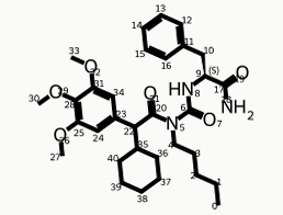 CCCCCN(C(=O)N[C@@H](Cc1ccccc1)C(N)=O)C(=O)C(c1cc(OC)c(OC)c(OC)c1)C1CCCCC1